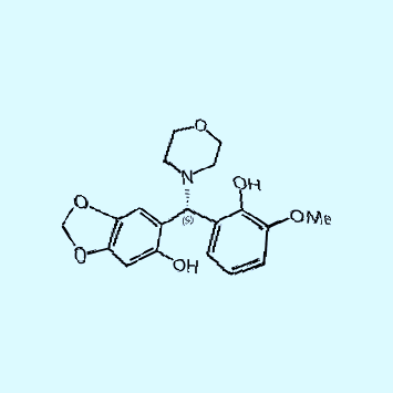 COc1cccc([C@H](c2cc3c(cc2O)OCO3)N2CCOCC2)c1O